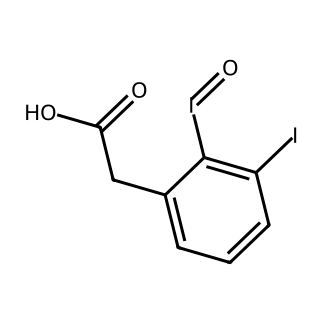 O=Ic1c(I)cccc1CC(=O)O